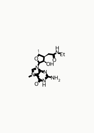 CCNC(=O)C[C@@H]1[C@@H](C)OC(n2c[n+](C)c3c(=O)[nH]c(N)nc32)[C@@H]1O